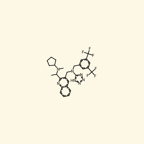 CC(c1nc2ccccc2cc1CN(Cc1cc(C(F)(F)F)cc(C(F)(F)F)c1)c1nnn[nH]1)N(C)C1CCCC1